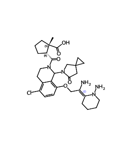 C[C@]1(C(=O)O)CCC[C@H]1C(=O)N1CCc2c(Cl)ccc(OC/C(N)=C3\CCCCN3N)c2C1N1CC2(CC2)CC1=O